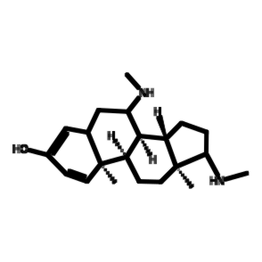 CNC1CC2C=C(O)C=C[C@]2(C)[C@@H]2CC[C@]3(C)C(NC)CC[C@H]3[C@H]12